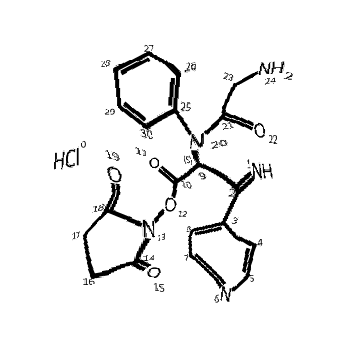 Cl.N=C(c1ccncc1)[C@@H](C(=O)ON1C(=O)CCC1=O)N(C(=O)CN)c1ccccc1